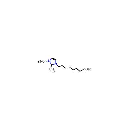 CCCCCCCCCCCCCCCCCN1C=CN(CCCCCCCCC)C1C